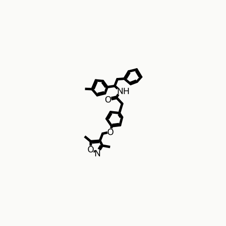 Cc1ccc(C(Cc2ccccc2)NC(=O)Cc2ccc(OCc3c(C)noc3C)cc2)cc1